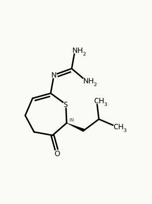 CC(C)C[C@@H]1SC(N=C(N)N)=CCCC1=O